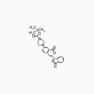 CC(C)(C)OC(=O)N1CCN(c2ccc(C=Cc3n[nH]c4ccccc34)c([N+](=O)[O-])c2)CC1